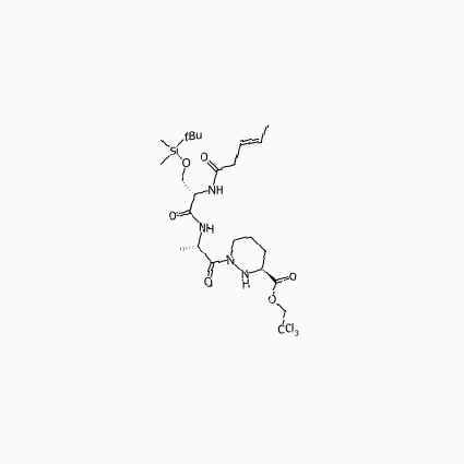 C/C=C/CC(=O)N[C@@H](CO[Si](C)(C)C(C)(C)C)C(=O)N[C@@H](C)C(=O)N1CCC[C@@H](C(=O)OCC(Cl)(Cl)Cl)N1